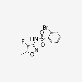 Cc1onc(NS(=O)(=O)c2ccccc2Br)c1F